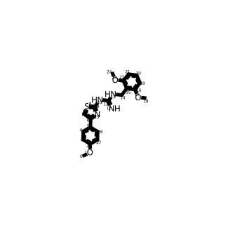 COc1ccc(-c2csc(NC(=N)NCc3c(OC)cccc3OC)n2)cc1